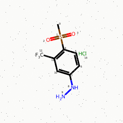 CS(=O)(=O)c1ccc(NN)cc1C(F)(F)F.Cl